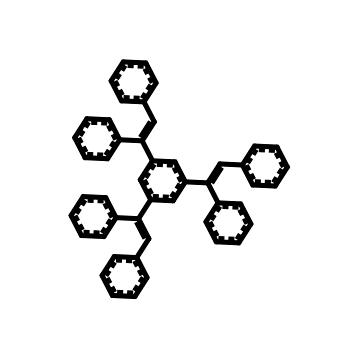 C(=C(c1ccccc1)c1cc(C(=Cc2ccccc2)c2ccccc2)cc(C(=Cc2ccccc2)c2ccccc2)c1)c1ccccc1